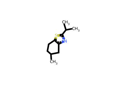 CC1CCc2sc(C(C)C)nc2C1